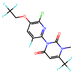 Cn1c(C(F)(F)F)cc(=O)n(-c2nc(Cl)c(OCC(F)(F)F)cc2F)c1=O